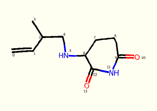 C=CC(C)CNC1CCC(=O)NC1=O